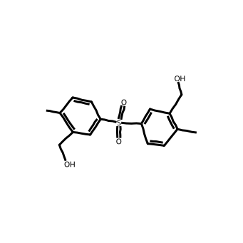 Cc1ccc(S(=O)(=O)c2ccc(C)c(CO)c2)cc1CO